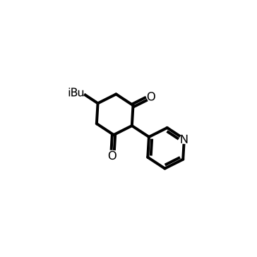 CCC(C)C1CC(=O)C(c2cccnc2)C(=O)C1